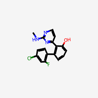 CNc1nccc(-c2c(-c3ccc(Cl)cc3F)[c]ccc2O)n1